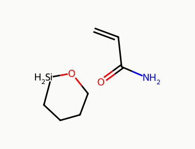 C1CC[SiH2]OC1.C=CC(N)=O